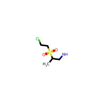 CC(C[NH])S(=O)(=O)CCCl